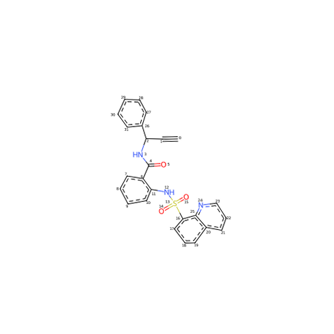 C#CC(NC(=O)c1ccccc1NS(=O)(=O)c1cccc2cccnc12)c1ccccc1